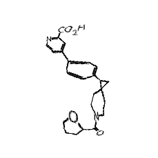 O=C(O)c1cc(-c2ccc([C@H]3CC34CCN(C(=O)C3CCCO3)CC4)cc2)ccn1